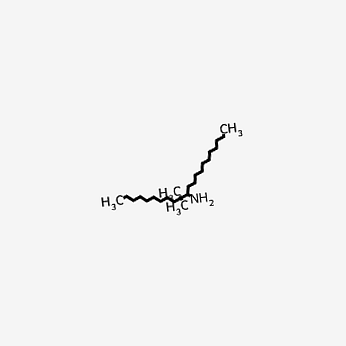 CCCCCCCCCCCC(N)C(C)(C)CCCCCCCCC